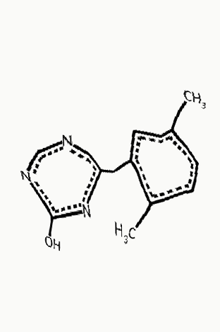 Cc1ccc(C)c(-c2ncnc(O)n2)c1